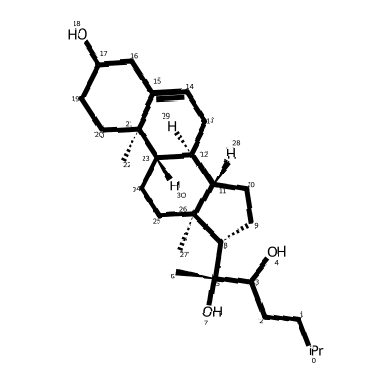 CC(C)CCC(O)[C@](C)(O)[C@H]1CC[C@H]2[C@@H]3CC=C4CC(O)CC[C@]4(C)[C@H]3CC[C@@]21C